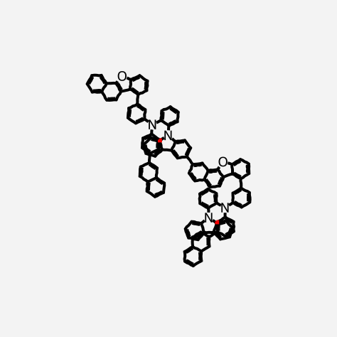 c1cc(-c2ccc3ccccc3c2)cc(N(c2cccc(-c3cccc4oc5c6cc(-c7ccc8c(c7)c7ccccc7n8-c7ccccc7N(c7ccc(-c8ccc9ccccc9c8)cc7)c7cccc(-c8cccc9oc%10c%11ccccc%11ccc%10c89)c7)ccc6ccc5c34)c2)c2ccccc2-n2c3ccccc3c3ccccc32)c1